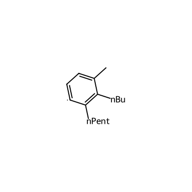 CCCCCc1[c]ccc(C)c1CCCC